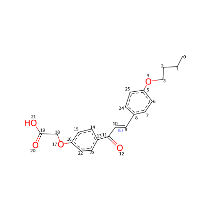 CCCCOc1ccc(/C=C/C(=O)c2ccc(OCC(=O)O)cc2)cc1